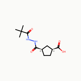 CC(C)(C)C(=O)NNC(=O)[C@@H]1CC[C@H](C(=O)O)C1